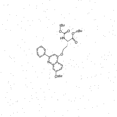 CCCCOC(=O)[C@H](CCOc1cc(-c2ccccc2)nc2cc(OC)ccc12)NC(=O)OC(C)(C)C